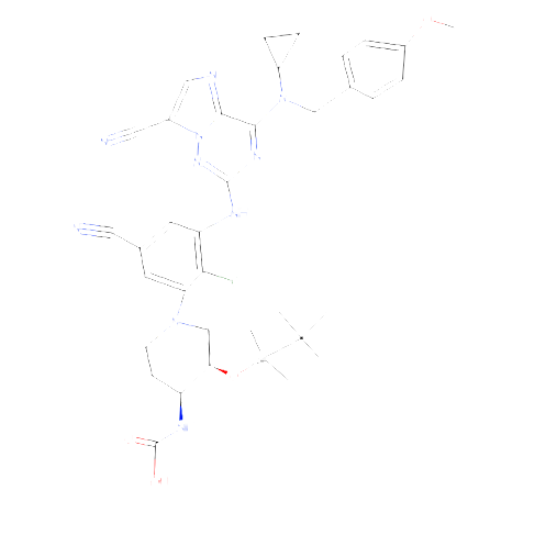 COc1ccc(CN(c2nc(Nc3cc(C#N)cc(N4CC[C@H](NC(=O)O)[C@H](O[Si](C)(C)C(C)(C)C)C4)c3Cl)nn3c(C#N)cnc23)C2CC2)cc1